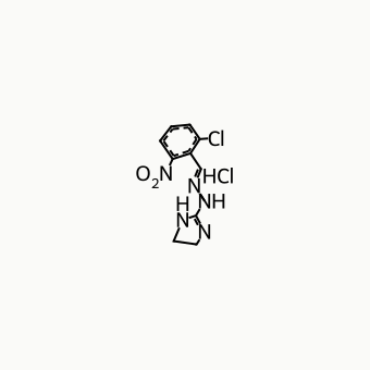 Cl.O=[N+]([O-])c1cccc(Cl)c1C=NNC1=NCCN1